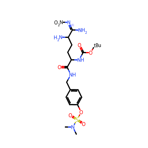 CN(C)S(=O)(=O)Oc1ccc(CNC(=O)C(CCC(N)/C(N)=N\[N+](=O)[O-])NC(=O)OC(C)(C)C)cc1